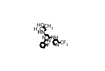 CC(C)(O)CNc1cc(Nc2ccnc(C(F)(F)F)c2)nc(-c2ccccc2F)n1